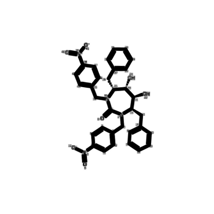 O=C1N(Cc2ccc([N+](=O)[O-])cc2)[C@H](Cc2ccccc2)[C@H](O)[C@@H](O)[C@@H](Cc2ccccc2)N1Cc1ccc([N+](=O)[O-])cc1